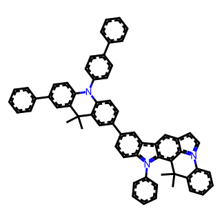 CC1(C)c2cc(-c3ccccc3)ccc2N(c2ccc(-c3ccccc3)cc2)c2ccc(-c3ccc4c(c3)c3cc5ccn6c5c(c3n4-c3ccccc3)C(C)(C)c3ccccc3-6)cc21